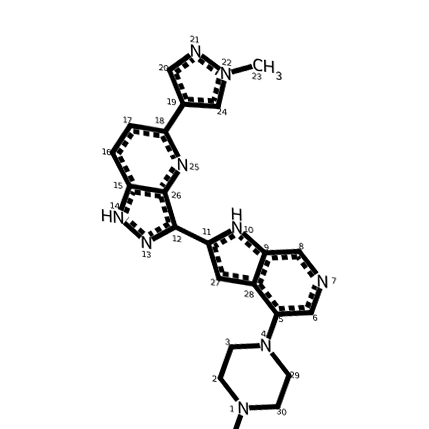 CN1CCN(c2cncc3[nH]c(-c4n[nH]c5ccc(-c6cnn(C)c6)nc45)cc23)CC1